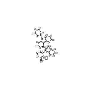 Clc1c(Br)cccc1-n1c(-c2cccc3c2c2ccccc2n3-c2ccccc2)nc2ccccc21